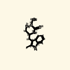 Cc1[nH]c2ccccc2c1CC(CO)NC(=O)OC(C)(C)C